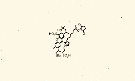 CC1C=C2Oc3c(cc4c(c3S(=O)(=O)O)NC(C)(C)CC4C)C(c3n(CCCCCC(=O)ON4C(=O)CCC4=O)cc[n+]3CCCS(=O)(=O)O)=C2C=C1C(C)CC(C)(C)C